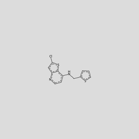 Clc1cc2nccc(NCc3cccs3)c2s1